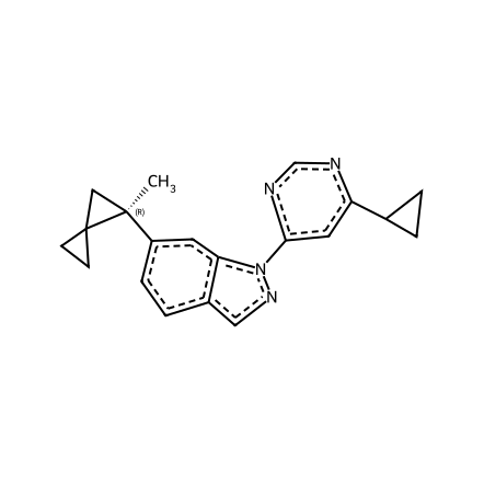 C[C@@]1(c2ccc3cnn(-c4cc(C5CC5)ncn4)c3c2)CC12CC2